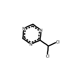 ClC(Cl)c1ncncn1